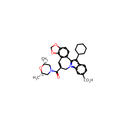 C[C@@H]1CN(C(=O)C2=Cc3c(ccc4c3OCO4)-c3c(C4CCCCC4)c4ccc(C(=O)O)cc4n3C2)C[C@H](C)O1